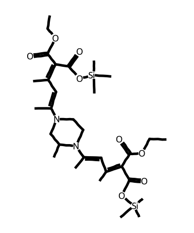 CCOC(=O)/C(C(=O)O[Si](C)(C)C)=C(C)/C=C(\C)N1CCN(/C(C)=C/C(C)=C(\C(=O)OCC)C(=O)O[Si](C)(C)C)C(C)C1